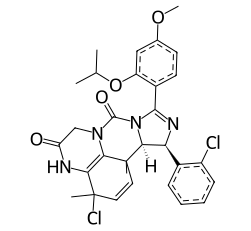 COc1ccc(C2=N[C@@H](c3ccccc3Cl)[C@@H]3N2C(=O)N2CC(=O)NC4=C2C3(C)C=CC4(C)Cl)c(OC(C)C)c1